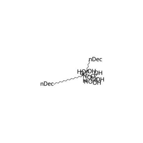 CCCCCCCCCCCCCCCCCCCCCCCCCC(=O)NC(CO[C@H]1OC(CO)[C@H](O)[C@H](O)C1O)[C@H](O)[C@H](O)CCCCCCCCCCCCCCC